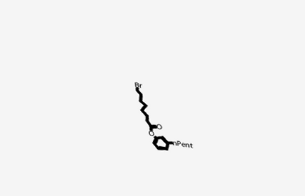 CCCCCc1cccc(OC(=O)CCCCCCCBr)c1